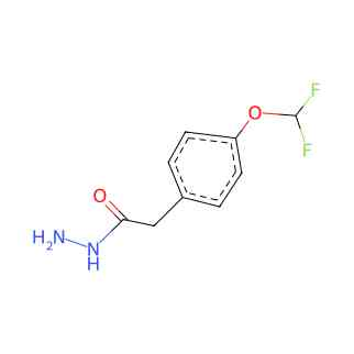 NNC(=O)Cc1ccc(OC(F)F)cc1